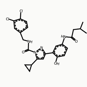 CC(C)CC(=O)Nc1ccc(O)c(-c2cc(C3CC3)n(C(=O)NCc3ccc(Cl)c(Cl)c3)n2)c1